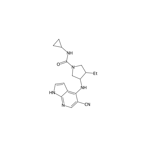 CCC1CN(C(=O)NC2CC2)CC1Nc1c(C#N)cnc2[nH]ccc12